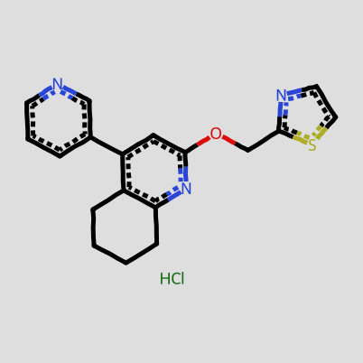 Cl.c1cncc(-c2cc(OCc3nccs3)nc3c2CCCC3)c1